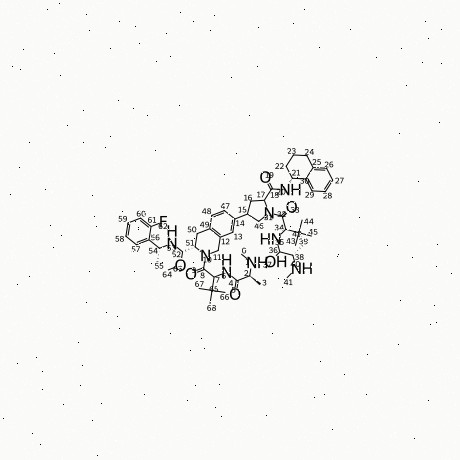 CN[C@@H](C)C(=O)NC(C(=O)N1Cc2cc(C3CC(C(=O)N[C@@H]4CCCc5ccccc54)N(C(=O)C(NC(O)[C@H](C)NC)C(C)(C)C)C3)ccc2C[C@H]1C(N[C@H](C)c1ccccc1F)OC)C(C)(C)C